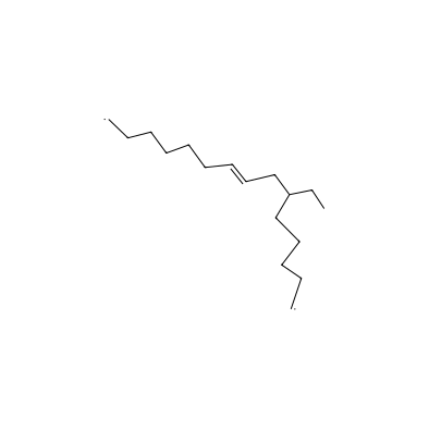 [CH2]CCCCC/C=C/CC(CC)CCCC[CH2]